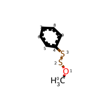 COSSc1ccccc1